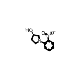 O=[N+]([O-])c1ccccc1N1CC[C@@H](O)C1